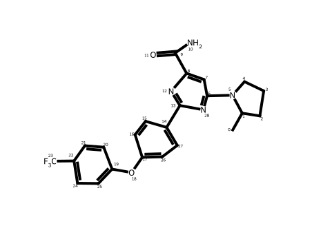 CC1CCCN1c1cc(C(N)=O)nc(-c2ccc(Oc3ccc(C(F)(F)F)cc3)cc2)n1